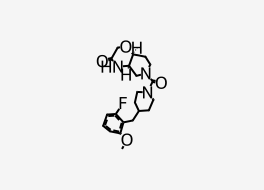 COc1cccc(F)c1CC1CCN(C(=O)N2CC[C@@H]3OCC(=O)N[C@@H]3C2)CC1